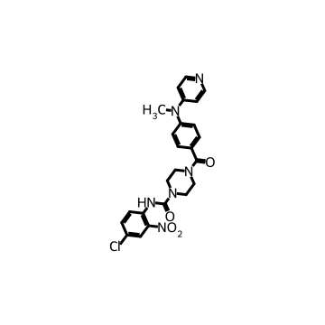 CN(c1ccncc1)c1ccc(C(=O)N2CCN(C(=O)Nc3ccc(Cl)cc3[N+](=O)[O-])CC2)cc1